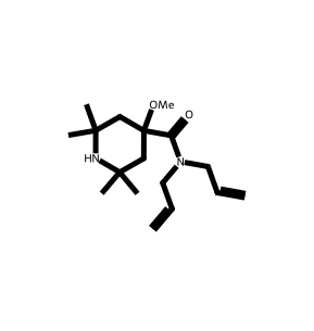 C=CCN(CC=C)C(=O)C1(OC)CC(C)(C)NC(C)(C)C1